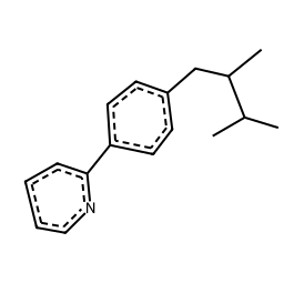 CC(C)C(C)Cc1ccc(-c2ccccn2)cc1